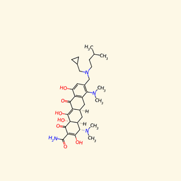 CC(C)CCN(Cc1cc(O)c2c(c1N(C)C)C[C@H]1C[C@H]3[C@H](N(C)C)C(O)=C(C(N)=O)C(=O)[C@@]3(O)C(O)=C1C2=O)CC1CC1